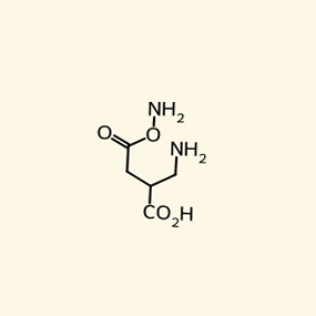 NCC(CC(=O)ON)C(=O)O